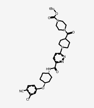 CC(C)(C)OC(=O)N1CCN(C(=O)C2CCN(c3ccc(C(=O)N[C@H]4CC[C@H](Oc5ccc(C#N)c(Cl)c5)CC4)nn3)CC2)CC1